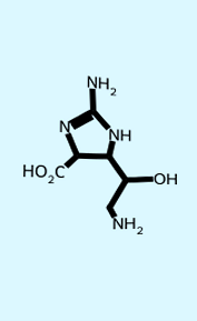 NCC(O)C1NC(N)=NC1C(=O)O